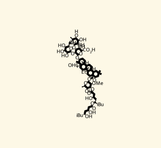 CC[C@H](C)[C@H](C[C@H](O)CC(=O)O[C@H]1[C@@H](O)[C@@H](C)O[C@@H](OC(=O)[C@]23CCC(C)(C)C[C@H]2C2=CC[C@@H]4[C@@]5(C)CC[C@H](O[C@@H]6O[C@H](C(=O)O)[C@@H](O)[C@H](O[C@@H]7O[C@@H](C)[C@H](O)[C@@H](O)[C@H]7O)[C@H]6O[C@@H]6O[C@H](CO)[C@H](O)[C@H](O)[C@H]6O)[C@@](C)(C=O)[C@@H]5CC[C@@]4(C)[C@]2(CC)CC3)[C@@H]1OC)OC(=O)C[C@@H](O)C[C@H](O)[C@@H](C)CC